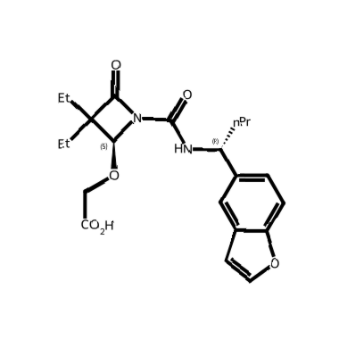 CCC[C@@H](NC(=O)N1C(=O)C(CC)(CC)[C@@H]1OCC(=O)O)c1ccc2occc2c1